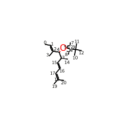 C/C=C(\C)[C@@H](O[Si](C)(C)C(C)(C)C)[C@@H](C)/C=C/C=C(C)C